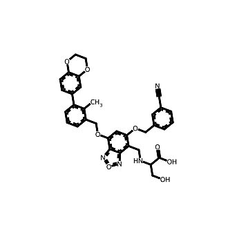 Cc1c(COc2cc(OCc3cccc(C#N)c3)c(CNC(CO)C(=O)O)c3nonc23)cccc1-c1ccc2c(c1)OCCO2